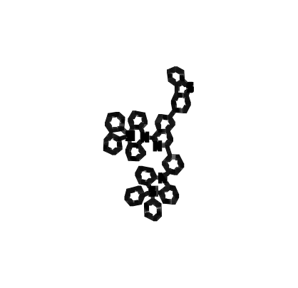 c1ccc([Si]2(c3ccccc3)c3ccccc3N(c3cccc(-c4cc5cc(-c6ccc7sc8ccccc8c7c6)ccc5c(N5c6ccccc6[Si](c6ccccc6)(c6ccccc6)c6ccccc65)n4)c3)c3ccccc32)cc1